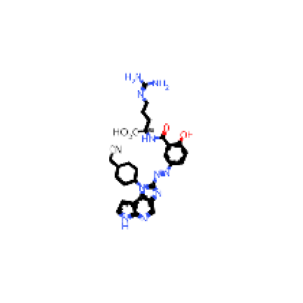 N#CCC1CCC(n2c(/N=N/c3ccc(O)c(C(=O)N[C@H](CCCN=C(N)N)C(=O)O)c3)nc3cnc4[nH]ccc4c32)CC1